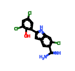 N=C(N)c1cc2cc(-c3cc(Cl)cc(Cl)c3O)[nH]c2cc1Cl